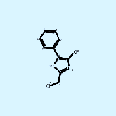 ClCc1nc(Cl)c(-c2ccccc2)s1